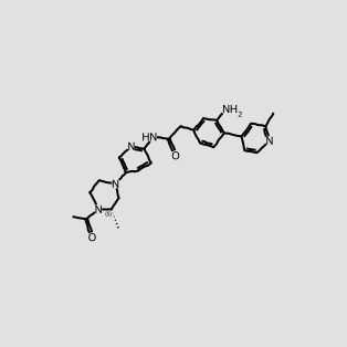 CC(=O)N1CCN(c2ccc(NC(=O)Cc3ccc(-c4ccnc(C)c4)c(N)c3)nc2)C[C@@H]1C